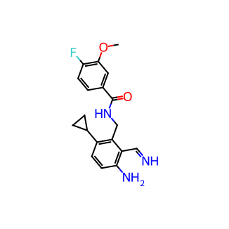 COc1cc(C(=O)NCc2c(C3CC3)ccc(N)c2C=N)ccc1F